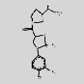 N#Cc1ccc(N2CC(C(=O)N3CCC(NC(=O)O)C3)O[C@@H]2C(F)(F)F)cc1C(F)(F)F